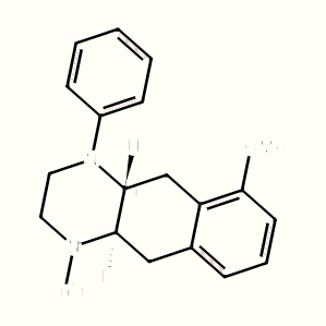 CCCN1CCN(c2ccccc2)[C@@H]2Cc3c(cccc3OC)C[C@H]21